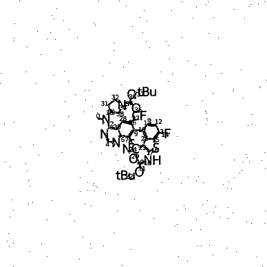 CN(c1ncnc2c(F)c(-c3ccc(F)c4sc(NC(=O)OC(C)(C)C)c(C#N)c34)c(C(F)(F)F)cc12)[C@@H]1CCN(C(=O)OC(C)(C)C)C1